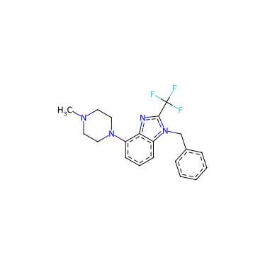 CN1CCN(c2cccc3c2nc(C(F)(F)F)n3Cc2ccccc2)CC1